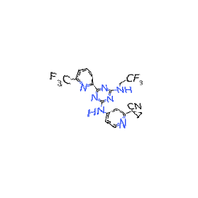 N#CC1(c2cc(Nc3nc(NCC(F)(F)F)nc(-c4cccc(C(F)(F)F)n4)n3)ccn2)CC1